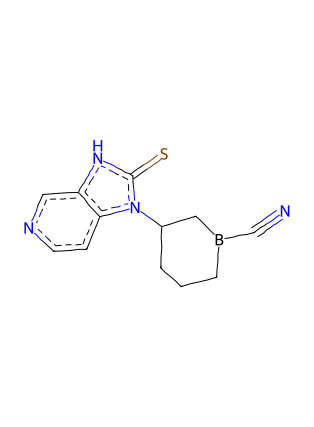 N#CB1CCCC(n2c(=S)[nH]c3cnccc32)C1